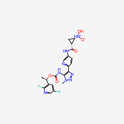 C[C@@H](OC(=O)Nc1c(-c2ccc(NC(=O)[C@@H]3C[C@H]3[NH+]([O-])O)cn2)nnn1C)c1cc(F)cnc1F